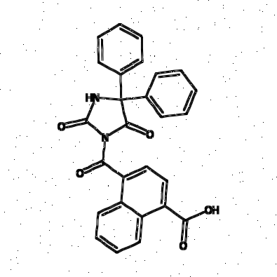 O=C(O)c1ccc(C(=O)N2C(=O)NC(c3ccccc3)(c3ccccc3)C2=O)c2ccccc12